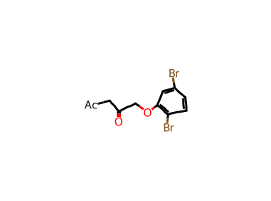 CC(=O)CC(=O)COc1cc(Br)ccc1Br